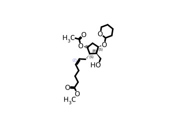 COC(=O)CCC/C=C\C[C@H]1[C@H](CO)[C@@H](OC2CCCCO2)C[C@H]1OC(C)=O